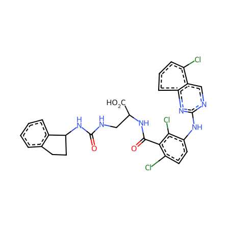 O=C(NCC(NC(=O)c1c(Cl)ccc(Nc2ncc3c(Cl)cccc3n2)c1Cl)C(=O)O)NC1CCc2ccccc21